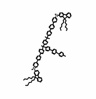 CCCCCCC1(CCCCCC)c2ccccc2-c2ccc(N(C)c3ccc(-c4ccc(-c5ccc(C(C)(C)c6ccc(C(C)(c7ccc(-c8ccc(-c9ccc(C)cc9)cc8)cc7)c7ccc(-c8ccc(-c9ccc(N(C)c%10ccc%11c(c%10)C(CCCCCC)(CCCCCC)c%10ccccc%10-%11)cc9)cc8)cc7)cc6)cc5)cc4)cc3)cc21